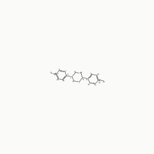 C[n+]1ccc(C2CCC(c3cc[n+](C)cc3)CC2)cc1